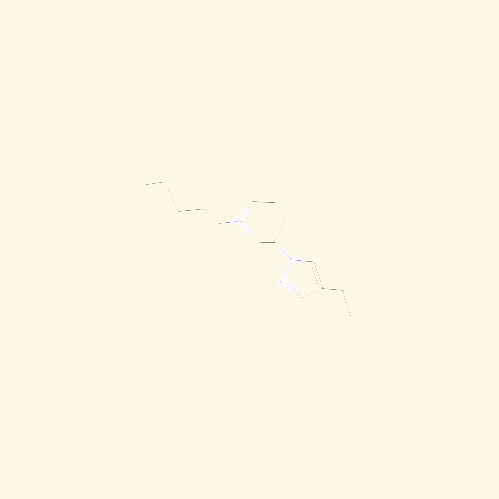 CCCCCN1CCCC(n2cc(C(C)C)cn2)C1